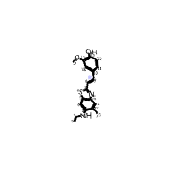 CCNc1cc2sc(/C=C/c3ccc(O)c(OC)c3)nc2cc1C